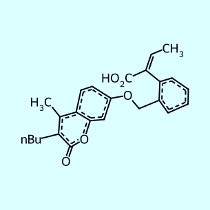 C/C=C(/C(=O)O)c1ccccc1COc1ccc2c(C)c(CCCC)c(=O)oc2c1